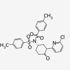 Cc1ccc(S(=O)(=O)N([C@H]2CCC(=O)C(c3cccc(Cl)n3)C2)S(=O)(=O)c2ccc(C)cc2)cc1